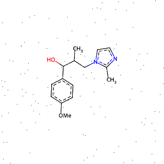 COc1ccc(C(O)C(C)Cn2ccnc2C)cc1